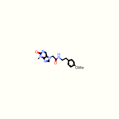 COc1ccc(CCNC(=O)Cn2cnc3c2cnc(=O)n3C)cc1